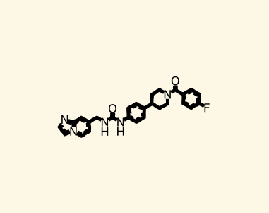 O=C(NCc1ccn2ccnc2c1)Nc1ccc(C2CCN(C(=O)c3ccc(F)cc3)CC2)cc1